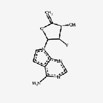 C=C1OC(n2ccc3c(N)ncnc32)C(F)[C@@H]1O